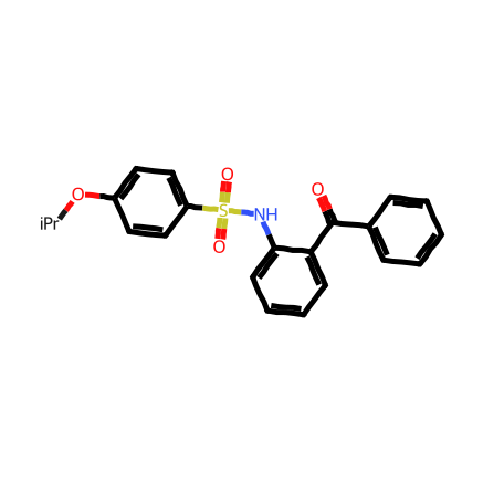 CC(C)Oc1ccc(S(=O)(=O)Nc2ccccc2C(=O)c2ccccc2)cc1